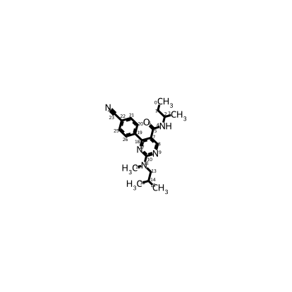 CCC(C)NC(=O)c1cnc(N(C)CC(C)C)nc1-c1ccc(C#N)cc1